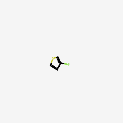 Fc1[c]scc1